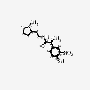 C=C(C(=O)NCCC1CCCN1C)c1ccc(S)c([N+](=O)[O-])c1